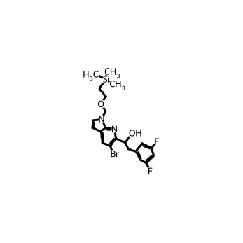 C[Si](C)(C)CCOCn1ccc2cc(Br)c(C(O)Cc3cc(F)cc(F)c3)nc21